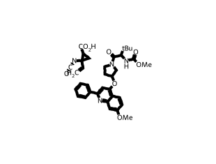 C=CC1(N=C=O)CC1C(=O)O.COC(=O)NC(C(=O)N1CCC(Oc2cc(-c3ccccc3)nc3cc(OC)ccc23)C1)C(C)(C)C